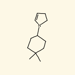 CC1(C)CCC(N2C=CCC2)CC1